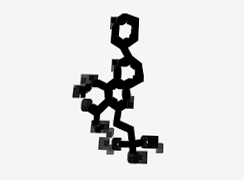 CC(C)Nc1c(C(N)=O)c(CCC(C)(C)O)nc2ccc(-c3cccnc3)nc12